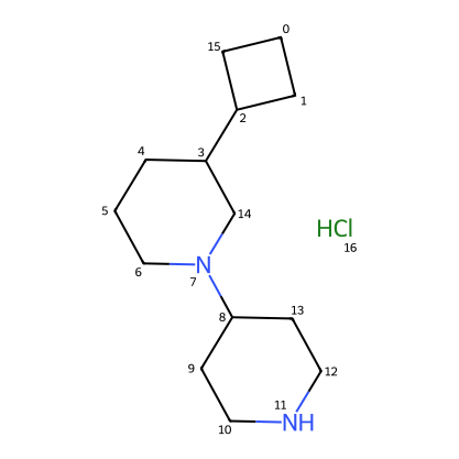 C1CC(C2CCCN(C3CCNCC3)C2)C1.Cl